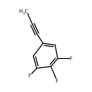 CC#Cc1cc(F)c(F)c(F)c1